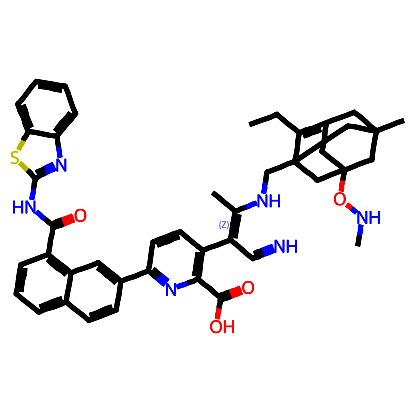 CCC1=C2CC3(C)CC(ONC)(C2)CC1(CN/C(C)=C(\C=N)c1ccc(-c2ccc4cccc(C(=O)Nc5nc6ccccc6s5)c4c2)nc1C(=O)O)C3